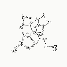 COC(=O)[C@@H]1C2CCC(C[C@@H]1c1ccc(C)cc1)N2C/C=C/CCl